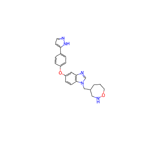 c1cc(-c2ccc(Oc3ccc4c(c3)ncn4CC3CCCONC3)cc2)[nH]n1